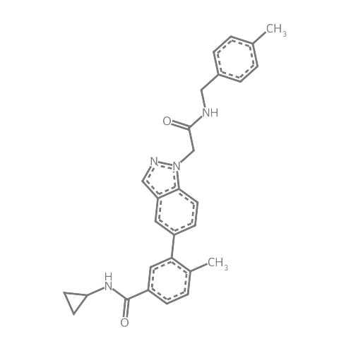 Cc1ccc(CNC(=O)Cn2ncc3cc(-c4cc(C(=O)NC5CC5)ccc4C)ccc32)cc1